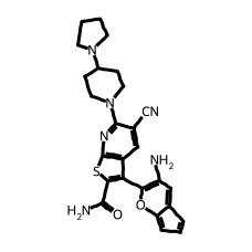 N#Cc1cc2c(-c3oc4cccc-4cc3N)c(C(N)=O)sc2nc1N1CCC(N2CCCC2)CC1